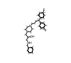 OC(CNCc1ccccc1)CN1CCN(CCCC(c2ccc(F)cc2)c2ccc(F)cc2)CC1